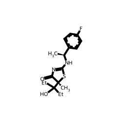 CCC(O)(CC)[C@@]1(C)SC(N[C@@H](C)c2ccc(F)cc2)=NC1=O